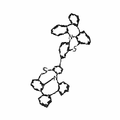 c1ccc2c(c1)-c1ccccc1N1c3ccc(-c4ccc5c(c4)Sc4cccc6c4N5c4ccccc4-c4ccccc4-6)cc3Sc3cccc-2c31